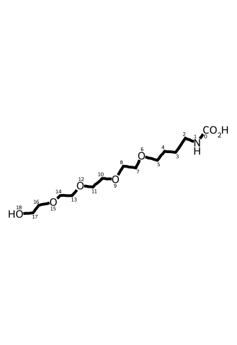 O=C(O)NCCCCOCCOCCOCCOCCO